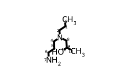 CCCN(CCCN)CC(C)O